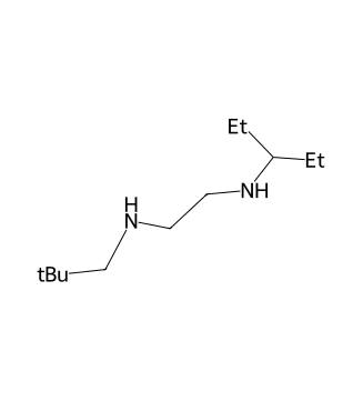 CCC(CC)NCCNCC(C)(C)C